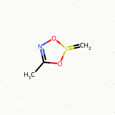 C=S1ON=C(C)O1